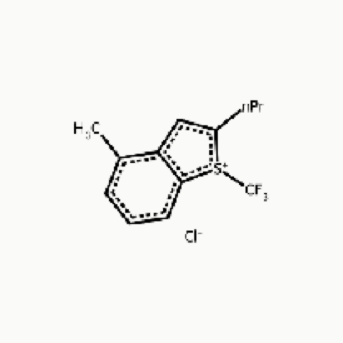 CCCc1cc2c(C)cccc2[s+]1C(F)(F)F.[Cl-]